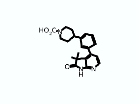 CC1(C)C(=O)Nc2nccc(-c3cccc(C4CCN(C(=O)O)CC4)c3)c21